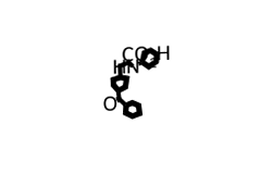 O=C(c1ccccc1)c1ccc(CC(Nc2ccccc2)C(=O)O)cc1